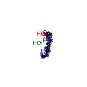 Cl.O=C(O)N[C@H]1CCc2ccn3c2C1C(=O)C[C@H](c1ncc(-c2ccc(-c4cnc5cc(-c6cnc([C@@H]7CCCN7)[nH]6)ccc5n4)cc2)[nH]1)C3